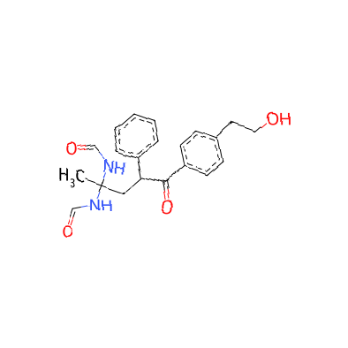 CC(CC(C(=O)c1ccc(CCO)cc1)c1ccccc1)(NC=O)NC=O